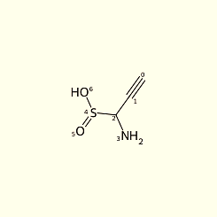 C#CC(N)S(=O)O